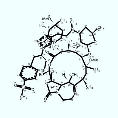 CC[C@H]1OC(=O)[C@H](C)[C@@H](O[C@H]2C[C@@](C)(OC)[C@@H](O)[C@H](C)O2)[C@H](C)[C@@H](O[C@@H]2O[C@H](C)C[C@H](N(C)CCc3cn([C@H](CF)Cc4ccc(S(C)(=O)=O)cc4)nn3)[C@H]2O)[C@](C)(OC)C[C@@H](C)C2=NCCN3C(=O)O[C@@]1(C)[C@H]3[C@H]2C